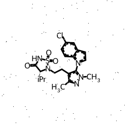 Cc1nn(C)c(-n2ccc3cc(Cl)ccc32)c1CCN1[C@H](C(C)C)C(=O)NS1(=O)=O